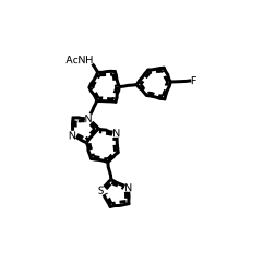 CC(=O)Nc1cc(-c2ccc(F)cc2)cc(-n2cnc3cc(-c4nccs4)cnc32)c1